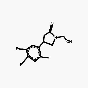 O=C1CC(c2cc(F)c(F)cc2F)CN1CO